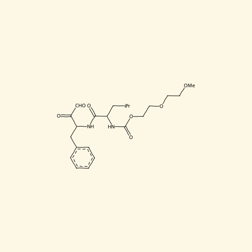 COCCOCCOC(=O)NC(CC(C)C)C(=O)NC(Cc1ccccc1)C(=O)C=O